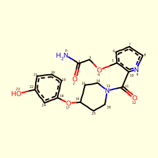 NC(=O)COc1cccnc1C(=O)N1CCC(Oc2cccc(O)c2)CC1